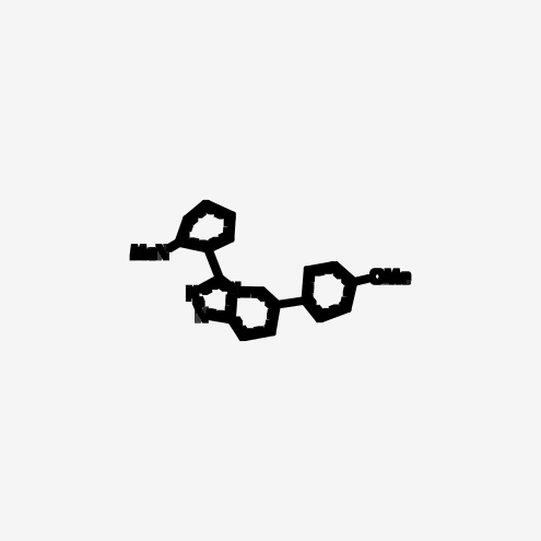 CNc1ccccc1-c1nnc2ccc(-c3ccc(OC)cc3)cn12